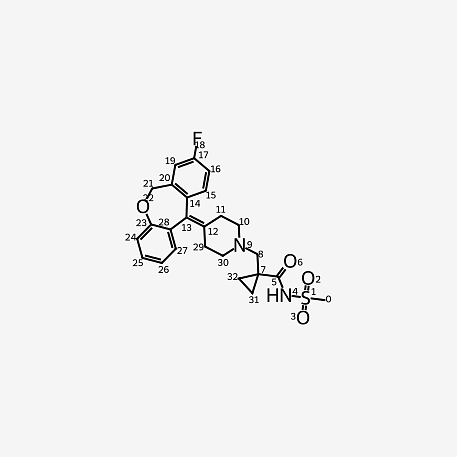 CS(=O)(=O)NC(=O)C1(CN2CCC(=C3c4ccc(F)cc4COc4ccccc43)CC2)CC1